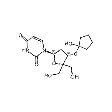 O=c1ccn([C@H]2C[C@H](OC3(O)CCCC3)C(CO)(CO)O2)c(=O)[nH]1